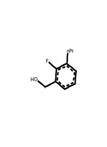 CCCc1cccc([CH]O)c1F